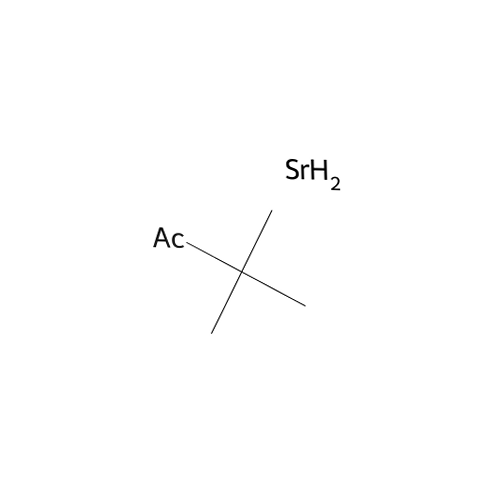 CC(=O)C(C)(C)C.[SrH2]